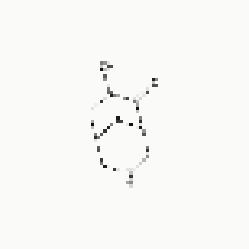 CN1CC2CNCC(O2)C1=O